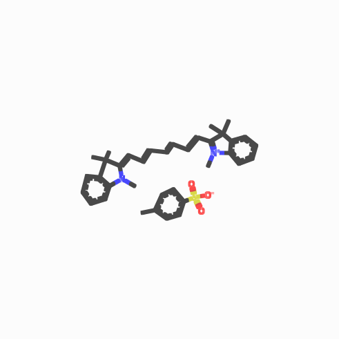 CN1\C(=C/C=C/C=C/C=C/C2=[N+](C)c3ccccc3C2(C)C)C(C)(C)c2ccccc21.Cc1ccc(S(=O)(=O)[O-])cc1